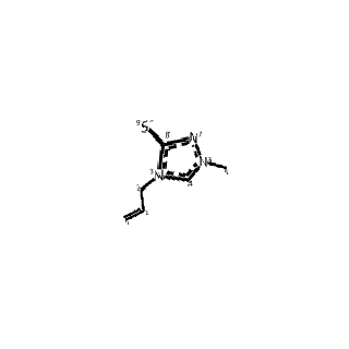 C=CCn1c[n+](C)nc1[S-]